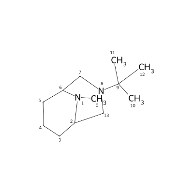 CN1C2CCCC1CN(C(C)(C)C)C2